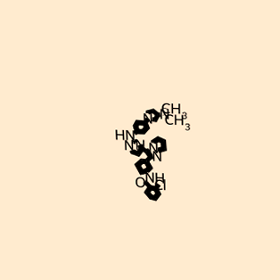 CN(C)C1CCN(c2ccc(Nc3nccc(-c4c(-c5cccc(NC(=O)c6ccccc6Cl)c5)nc5ccccn45)n3)cc2)C1